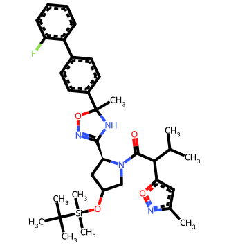 Cc1cc(C(C(=O)N2CC(O[Si](C)(C)C(C)(C)C)C[C@H]2C2=NOC(C)(c3ccc(-c4ccccc4F)cc3)N2)C(C)C)on1